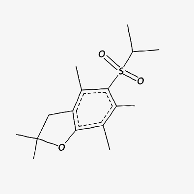 Cc1c(C)c(S(=O)(=O)C(C)C)c(C)c2c1OC(C)(C)C2